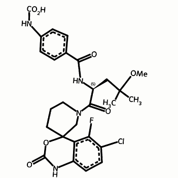 COC(C)(C)C[C@H](NC(=O)c1ccc(NC(=O)O)cc1)C(=O)N1CCCC2(C1)OC(=O)Nc1ccc(Cl)c(F)c12